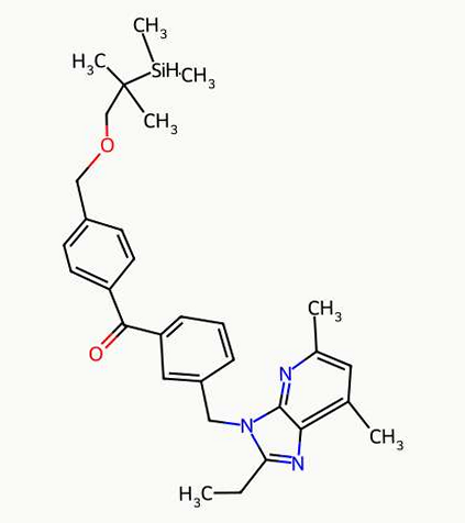 CCc1nc2c(C)cc(C)nc2n1Cc1cccc(C(=O)c2ccc(COCC(C)(C)[SiH](C)C)cc2)c1